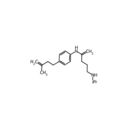 C=C(C)CCc1ccc(NC(=C)CCCNC(C)C)cc1